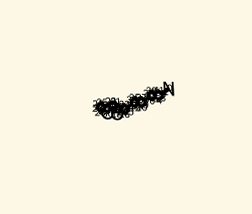 N#Cc1ccc2cc(-c3ccc4cc(-c5ccc6oc7c(ccc8c9ccccc9oc87)c6c5)ccc4c3)ccc2c1